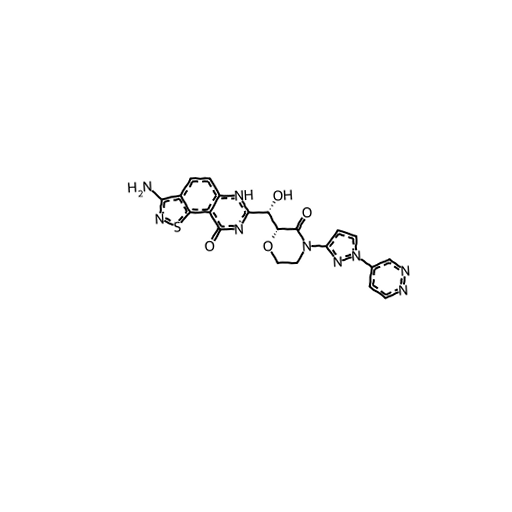 Nc1nsc2c1ccc1[nH]c([C@H](O)[C@H]3OCCN(c4ccn(-c5ccnnc5)n4)C3=O)nc(=O)c12